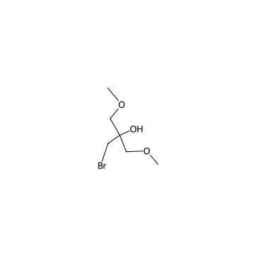 COCC(O)(CBr)COC